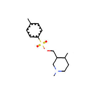 Cc1ccc(S(=O)(=O)OCC2CN(C)CCC2C)cc1